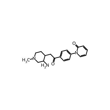 CN1CCC(CC(=O)c2ccc(-n3ccccc3=O)cc2)C(N)C1